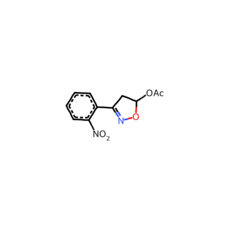 CC(=O)OC1CC(c2ccccc2[N+](=O)[O-])=NO1